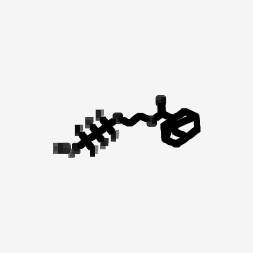 O=C(OCCOC(F)(F)C(F)(F)C(F)(F)S(=O)(=O)O)C12CC3CC(CC(C3)C1)C2